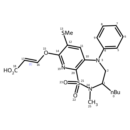 CCCCC1CN(c2ccccc2)c2cc(SC)c(O/C=C/C(=O)O)nc2S(=O)(=O)N1C